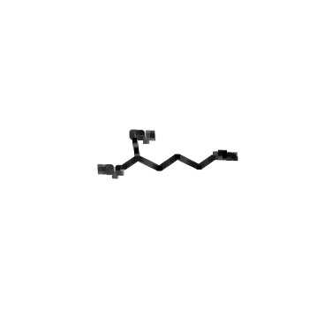 CC[CH]CCCCCCC(C(=O)O)C(=O)O